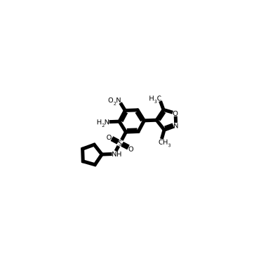 Cc1noc(C)c1-c1cc([N+](=O)[O-])c(N)c(S(=O)(=O)NC2CCCC2)c1